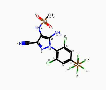 CS(=O)(=O)Nc1c(C#N)nn(-c2c(Cl)cc(S(F)(F)(F)(F)F)cc2Cl)c1N